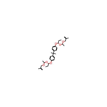 C=C(C)COC(C)OC(CC)Oc1ccc(C(C)(C)c2ccc(OC(CC)OC(C)OCC(=C)C)cc2)cc1